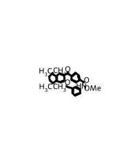 CONC(=O)c1ccc(C(=O)c2cc3c(cc2OCc2ccccc2)C(C)(C)CCC3(C)C)cc1